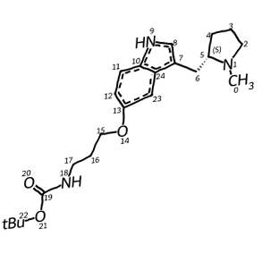 CN1CCC[C@H]1Cc1c[nH]c2ccc(OCCCNC(=O)OC(C)(C)C)cc12